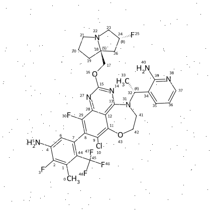 Cc1c(F)c(N)cc(-c2c(Cl)c3c4c(nc(OC[C@@]56CCCN5C[C@H](F)C6)nc4c2F)N([C@H](C)c2cccnc2N)CCO3)c1C(F)(F)F